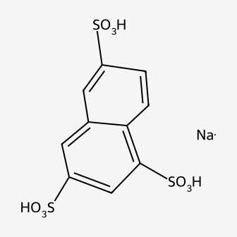 O=S(=O)(O)c1ccc2c(S(=O)(=O)O)cc(S(=O)(=O)O)cc2c1.[Na]